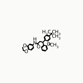 COc1ccccc1C(CC(=O)Nc1ccc2c(c1)OCCO2)c1ccc(C(C)(C)C)cc1